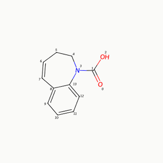 O=C(O)N1CCC=Cc2ccccc21